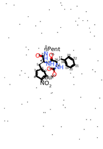 CCCCCNC(=O)[C@H](Cc1ccc([N+](=O)[O-])cc1)NC(=O)[C@H](Cc1ccccc1)NC(=O)OC(C)(C)C